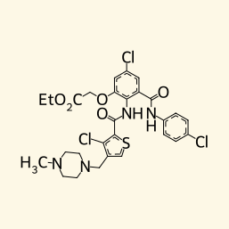 CCOC(=O)COc1cc(Cl)cc(C(=O)Nc2ccc(Cl)cc2)c1NC(=O)c1scc(CN2CCN(C)CC2)c1Cl